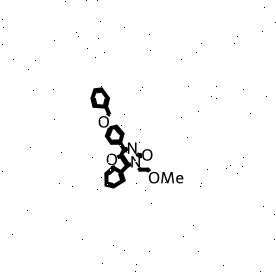 COCCn1c(=O)nc(-c2ccc(OCc3ccccc3)cc2)c2oc3ccccc3c21